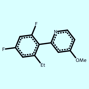 CCc1cc(F)cc(F)c1-c1cc(OC)ccn1